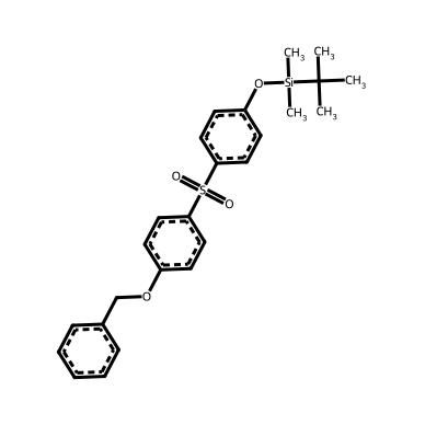 CC(C)(C)[Si](C)(C)Oc1ccc(S(=O)(=O)c2ccc(OCc3ccccc3)cc2)cc1